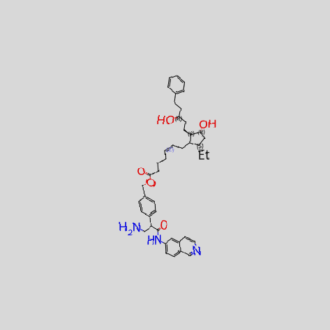 CC[C@H]1C[C@@H](O)[C@H](CC[C@@H](O)CCc2ccccc2)C1C/C=C\CCCC(=O)OCc1ccc(C(CN)C(=O)Nc2ccc3cnccc3c2)cc1